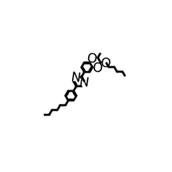 CCCCCCc1ccc(-c2cnc(-c3ccc(OC(C)C(=O)OCCCCC)cc3)nc2)cc1